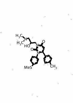 CSc1ccc(-n2c(-c3ccc(C)cc3)cc(=O)n(CC(O)CN(C)C)c2=O)cc1